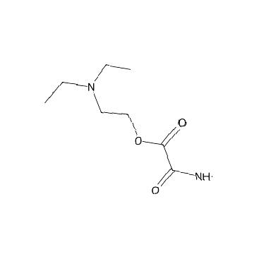 CCN(CC)CCOC(=O)C([NH])=O